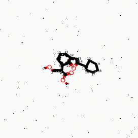 CO/C=C(/C(=O)OC)c1cccc2cc(C3CCCCC3)oc12